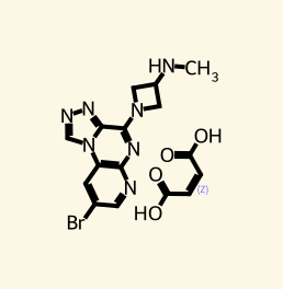 CNC1CN(c2nc3ncc(Br)cc3n3cnnc23)C1.O=C(O)/C=C\C(=O)O